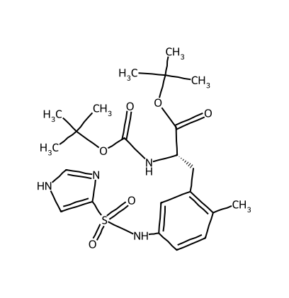 Cc1ccc(NS(=O)(=O)c2c[nH]cn2)cc1C[C@H](NC(=O)OC(C)(C)C)C(=O)OC(C)(C)C